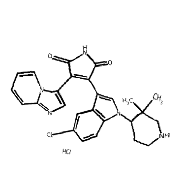 CC1(C)CNCCC1n1cc(C2=C(c3cnc4ccccn34)C(=O)NC2=O)c2cc(Cl)ccc21.Cl